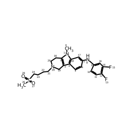 Cn1c2c(c3ccc(Nc4ccc(F)c(F)c4)cc31)CN(CCCCS(C)(=O)=O)CC2